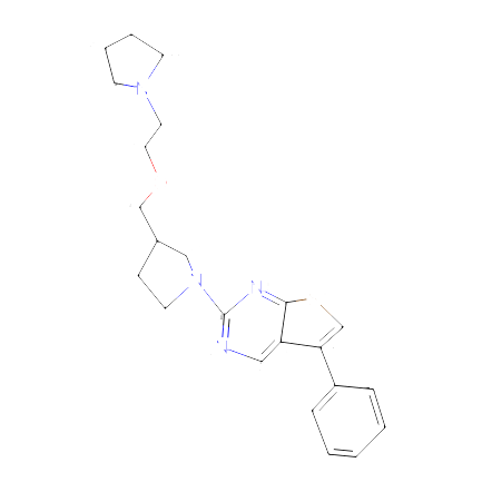 c1ccc(-c2csc3nc(N4CCC(COCCN5CCCC5)C4)ncc23)cc1